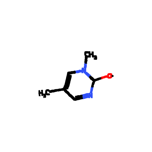 CC1=CN(C)C([O])N=C1